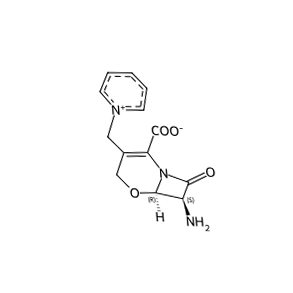 N[C@@H]1C(=O)N2C(C(=O)[O-])=C(C[n+]3ccccc3)CO[C@H]12